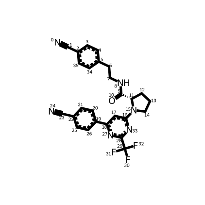 N#Cc1ccc(CCNC(=O)[C@@H]2CCCN2c2cc(-c3ccc(C#N)cc3)nc(C(F)(F)F)n2)cc1